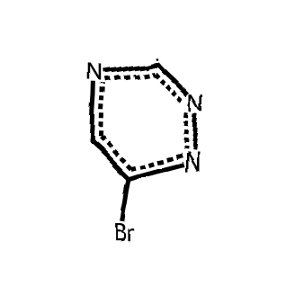 Brc1cn[c]nn1